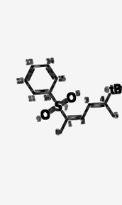 C/C(=C/C=C(\C)C(C)(C)C)S(=O)(=O)c1ccccc1